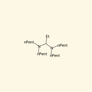 [CH2]CC(N(CCCCC)CCCCC)N(CCCCC)CCCCC